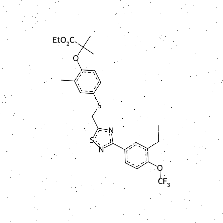 CCOC(=O)C(C)(C)Oc1ccc(SCc2nc(-c3ccc(OC(F)(F)F)c(CI)c3)ns2)cc1C